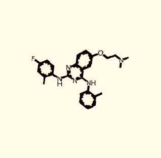 Cc1cc(F)ccc1Nc1nc(Nc2ccccc2C)c2cc(OCCN(C)C)ccc2n1